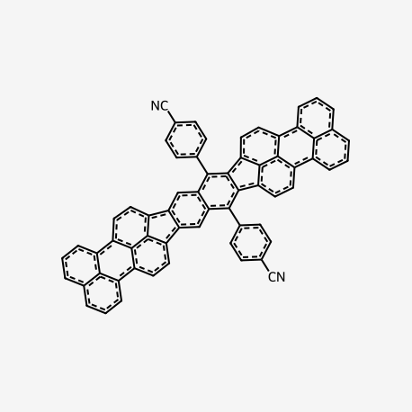 N#Cc1ccc(-c2c3cc4c(cc3c(-c3ccc(C#N)cc3)c3c5ccc6c7cccc8cccc(c9ccc(c23)c5c96)c87)c2ccc3c5cccc6cccc(c7ccc4c2c73)c65)cc1